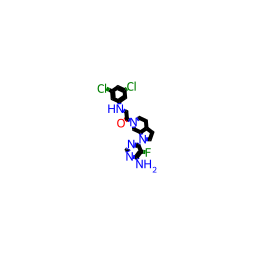 Nc1ncnc(N2CCC3CCN(C(=O)CNc4cc(Cl)cc(Cl)c4)CC32)c1F